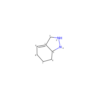 C1=C2CN[N]C2CCC1